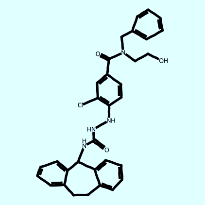 O=C(NNc1ccc(C(=O)N(CCO)Cc2ccccc2)cc1Cl)NC1c2ccccc2CCc2ccccc21